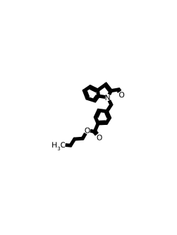 CCCCOC(=O)c1ccc(Cn2c(C=O)cc3ccccc32)cc1